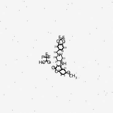 COc1ccc2oc(=O)cc(NC3CCN(Cc4ccc5c(c4)OC(F)(F)O5)CC3)c2c1.O=C(O)C(F)(F)F